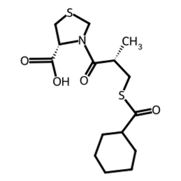 C[C@H](CSC(=O)C1CCCCC1)C(=O)N1CSC[C@H]1C(=O)O